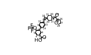 O=C(O)c1ccc(OC(F)(F)F)c(-c2ccc([C@H]3CC34CCN(C(=O)[C@H]3CCCO3)CC4)cc2)c1